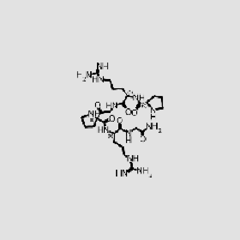 N=C(N)NCCC[C@@H](NC(=O)[C@@H]1CCCN1)C(=O)NCC(=O)[C@@]1(C(=O)N[C@H](CCCNC(=N)N)C(=O)NCC(N)=O)CCCN1